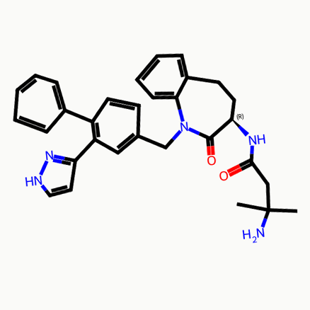 CC(C)(N)CC(=O)N[C@@H]1CCc2ccccc2N(Cc2ccc(-c3ccccc3)c(-c3cc[nH]n3)c2)C1=O